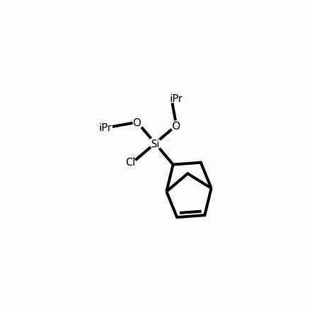 CC(C)O[Si](Cl)(OC(C)C)C1CC2C=CC1C2